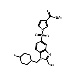 CNC(=O)c1ccn(S(=O)(=O)c2ccc3c(c2)nc(C(C)(C)C)n3CC2CCC(F)CC2)c1